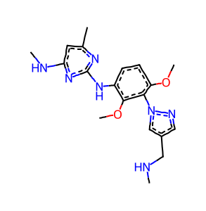 CNCc1cnn(-c2c(OC)ccc(Nc3nc(C)cc(NC)n3)c2OC)c1